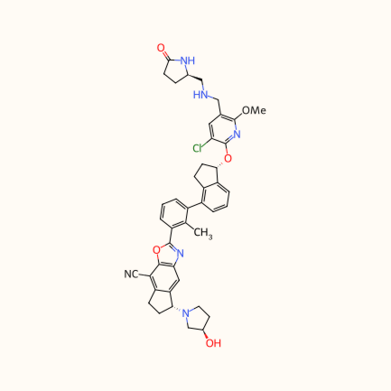 COc1nc(O[C@H]2CCc3c(-c4cccc(-c5nc6cc7c(c(C#N)c6o5)CC[C@H]7N5CC[C@@H](O)C5)c4C)cccc32)c(Cl)cc1CNC[C@H]1CCC(=O)N1